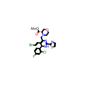 COC(=O)[C@@H]1COCCN1CC1=C(/C=C/Br)C(c2ccc(F)cc2Cl)NC(c2nccs2)=N1